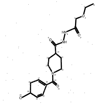 CCOCC(=O)NNC(=O)C1CCN(C(=O)C2=CCC(Cl)C=C2)CC1